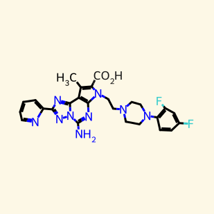 Cc1c(C(=O)O)n(CCN2CCN(c3ccc(F)cc3F)CC2)c2nc(N)n3nc(-c4ccccn4)nc3c12